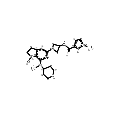 CN(c1nc(N2CC(OC(=O)c3ccn(C)n3)C2)nc2c1[S+]([O-])CC2)C1CCOCC1